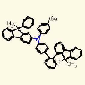 CC(C)(C)c1ccc(N(c2ccc(-c3ccccc3-c3cccc4c3C(C)(C)c3ccccc3-4)cc2)c2ccc3c(c2)C(C)(c2ccccc2)c2ccccc2-3)cc1